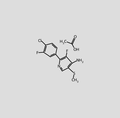 CC(=O)O.CSc1cnc(-c2ccc(Cl)c(F)c2)c(F)c1N